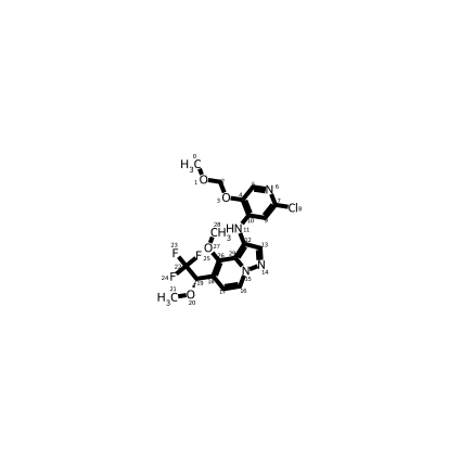 COCOc1cnc(Cl)cc1Nc1cnn2ccc([C@H](OC)C(F)(F)F)c(OC)c12